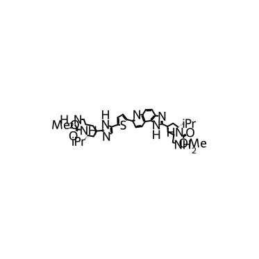 COC(=O)N[C@H](CC(CCCN)c1ncc(-c2ccc(-c3ccc4c(ccc5nc(C(CCCN)C[C@@H](NC(=O)OC)C(C)C)[nH]c54)n3)s2)[nH]1)C(C)C